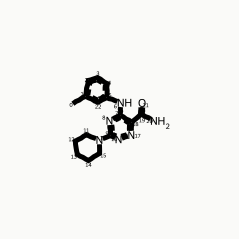 Cc1cccc(Nc2nc(N3CCCCC3)nnc2C(N)=O)c1